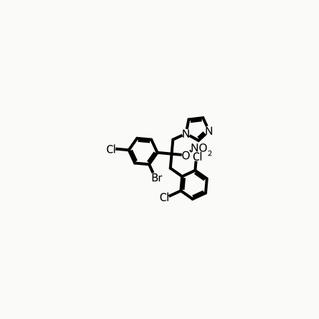 O=[N+]([O-])OC(Cc1c(Cl)cccc1Cl)(Cn1ccnc1)c1ccc(Cl)cc1Br